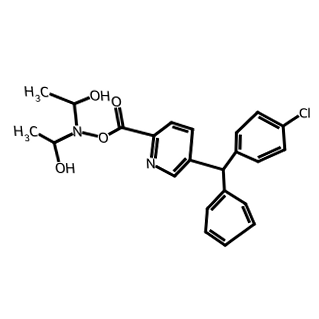 CC(O)N(OC(=O)c1ccc(C(c2ccccc2)c2ccc(Cl)cc2)cn1)C(C)O